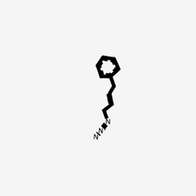 [N-]=[N+]=NCC=CCc1ccccc1